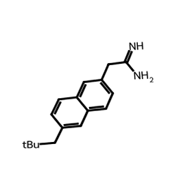 CC(C)(C)Cc1ccc2cc(CC(=N)N)ccc2c1